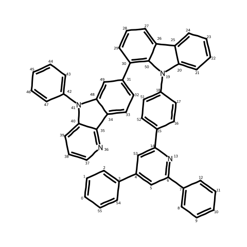 c1ccc(-c2cc(-c3ccccc3)nc(-c3ccc(-n4c5ccccc5c5cccc(-c6ccc7c8ncccc8n(-c8ccccc8)c7c6)c54)cc3)c2)cc1